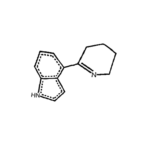 c1cc(C2=NCCCC2)c2cc[nH]c2c1